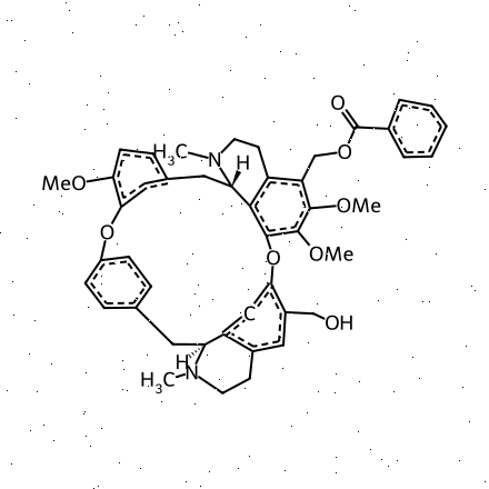 COc1ccc2cc1Oc1ccc(cc1)C[C@H]1c3cc(c(CO)cc3CCN1C)Oc1c(OC)c(OC)c(COC(=O)c3ccccc3)c3c1[C@H](C2)N(C)CC3